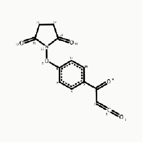 O=C=CC(=O)c1ccc(ON2C(=O)CCC2=O)cc1